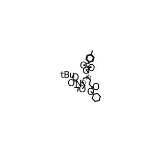 Cc1ccc(S(=O)(=O)OC[C@H](CCC(=O)OC2CCCCC2)C[C@H]2COC(C)(C)N2C(=O)OC(C)(C)C)cc1